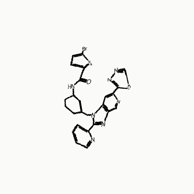 O=C(NC1CCCC(n2c(-c3ccccn3)nc3cnc(-c4nnco4)cc32)C1)c1ccc(Br)s1